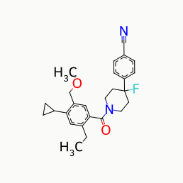 CCc1cc(C2CC2)c(COC)cc1C(=O)N1CCC(F)(c2ccc(C#N)cc2)CC1